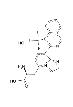 Cl.N[C@@H](Cc1ccc(-c2ncc3ccccc3c2C(F)(F)F)c2nccn12)C(=O)O